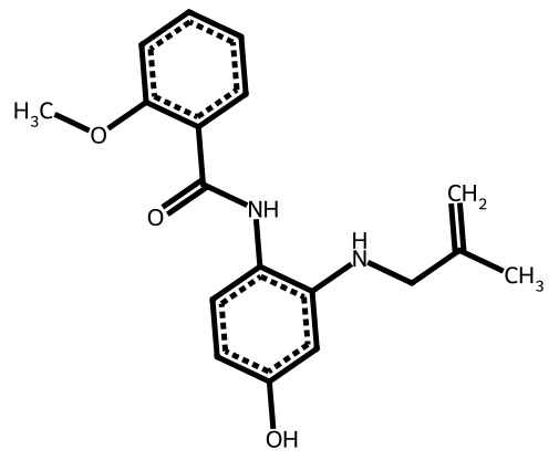 C=C(C)CNc1cc(O)ccc1NC(=O)c1ccccc1OC